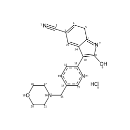 Cl.N#CC1=CCC2=NC(O)=C(c3ccc(CN4CCOCC4)cn3)C2=C1